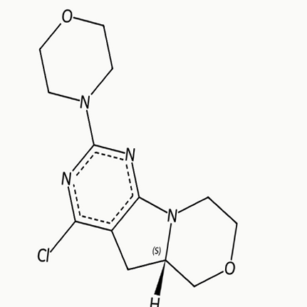 Clc1nc(N2CCOCC2)nc2c1C[C@H]1COCCN21